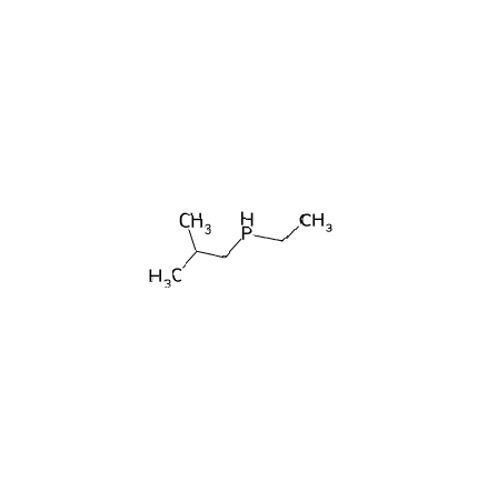 CCPCC(C)C